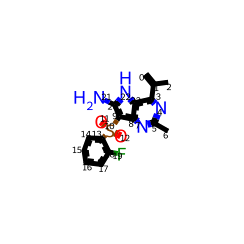 C=C(C)c1nc(C)nc2c(S(=O)(=O)c3ccccc3F)c(N)[nH]c12